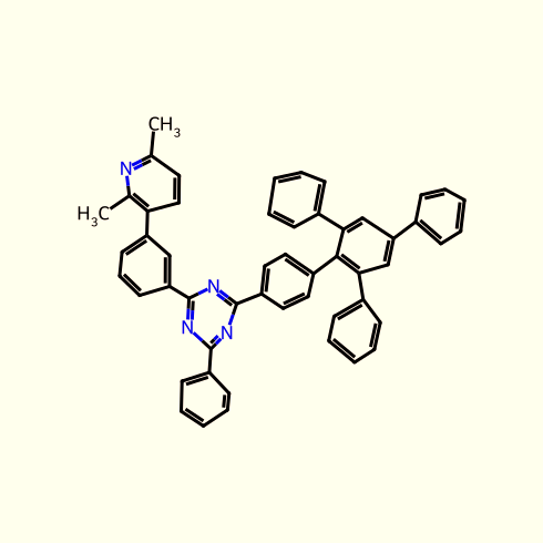 Cc1ccc(-c2cccc(-c3nc(-c4ccccc4)nc(-c4ccc(-c5c(-c6ccccc6)cc(-c6ccccc6)cc5-c5ccccc5)cc4)n3)c2)c(C)n1